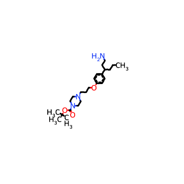 CCCC(CCN)c1ccc(OCCCN2CCN(C(=O)OC(C)(C)C)CC2)cc1